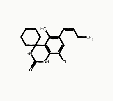 CC/C=C\c1cc(Cl)c2c(c1O)C1(CCCCC1)NC(=O)N2